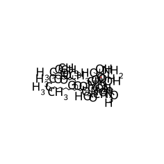 COC1C(OC(=O)CC(C)CC(=O)OC(CCCCCCCCC(C)C)CC(=O)O[C@H]2CN(C)[C@@H]([C@H](O[C@@H]3O[C@H](CN)C(O)[C@@H]3O)[C@H]3O[C@@H](n4ccc(=O)[nH]c4=O)[C@@H](O)C3O)C(=O)N(C)[C@@H]2C(=O)O)OC(C)C(C)C1OC